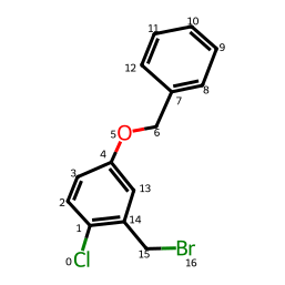 Clc1ccc(OCc2ccccc2)cc1CBr